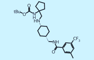 Cc1cc(C(=O)NC[C@H]2CC[C@@H](NCC3(NC(=O)OC(C)(C)C)CCCC3)CC2)cc(C(F)(F)F)c1